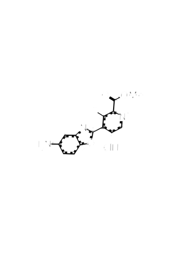 COC(=O)c1nccc(-c2nc3cc(N)ccc3o2)c1F.Cl